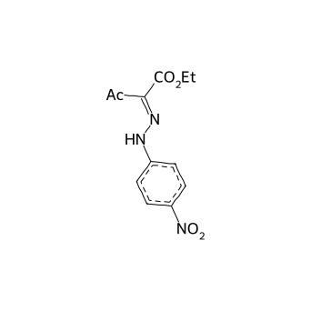 CCOC(=O)C(=NNc1ccc([N+](=O)[O-])cc1)C(C)=O